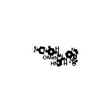 COc1cc(N2CCC(N(C)C)CC2)c(C)cc1Nc1nc(Nc2ccc3nccnc3c2N(C)S(C)(=O)=O)c2cc[nH]c2n1